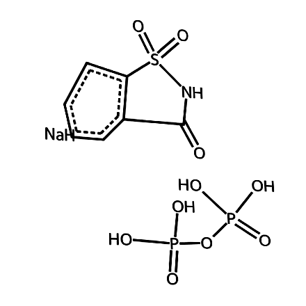 O=C1NS(=O)(=O)c2ccccc21.O=P(O)(O)OP(=O)(O)O.[NaH]